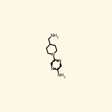 NCC1CCN(c2cnc(N)cn2)CC1